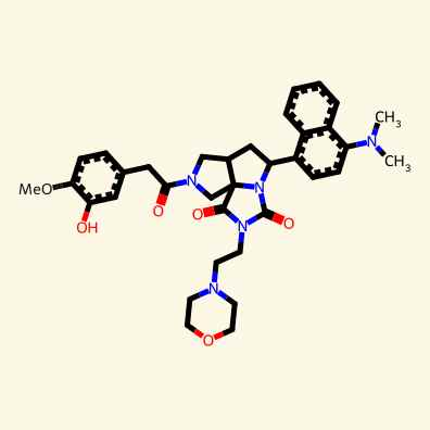 COc1ccc(CC(=O)N2CC3CC(c4ccc(N(C)C)c5ccccc45)N4C(=O)N(CCN5CCOCC5)C(=O)C34C2)cc1O